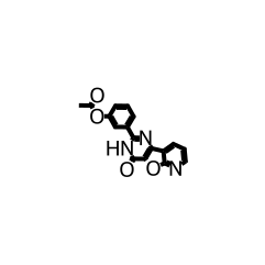 CC(=O)Oc1cccc(-c2nc3c(oc4ncccc43)c(=O)[nH]2)c1